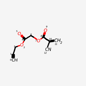 C#CCOC(=O)COC(=O)C(=C)C#N